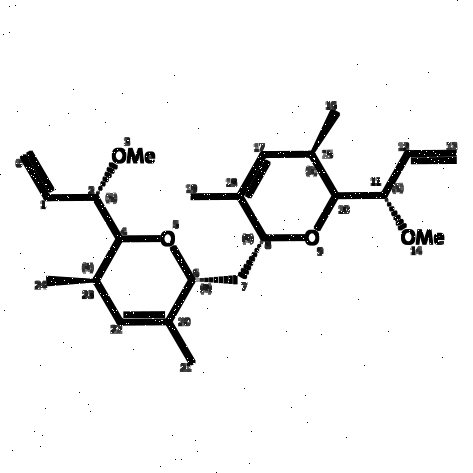 C=C[C@H](OC)C1O[C@H](C[C@H]2OC([C@H](C=C)OC)[C@H](C)C=C2C)C(C)=C[C@H]1C